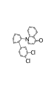 O=c1ccn(-c2ccccc2-c2ccc(Cl)c(Cl)c2)c2ccccc12